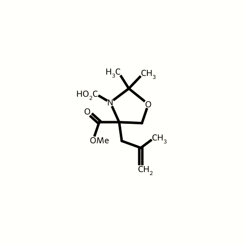 C=C(C)CC1(C(=O)OC)COC(C)(C)N1C(=O)O